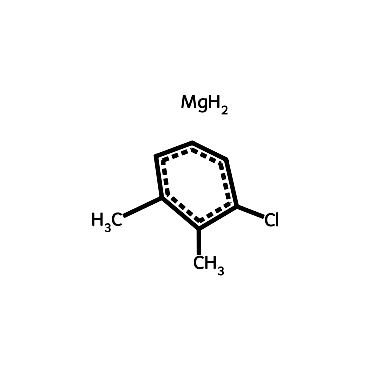 Cc1cccc(Cl)c1C.[MgH2]